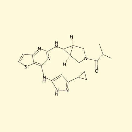 CC(C)C(=O)N1C[C@@H]2C(Nc3nc(Nc4cc(C5CC5)n[nH]4)c4sccc4n3)[C@@H]2C1